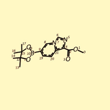 COC(=O)c1ncn2cc(B3OC(C)(C)C(C)(C)O3)ccc12